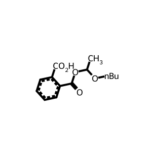 CCCCOC(C)OC(=O)c1ccccc1C(=O)O